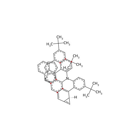 CC(C)(C)c1cc(-c2cccc3cccc(-c4ccccc4N(c4ccc(C(C)(C)C)cc4C4=CC=CC5=C[C@@H]54)c4cccc5sc6ccccc6c45)c23)cc(C(C)(C)C)c1